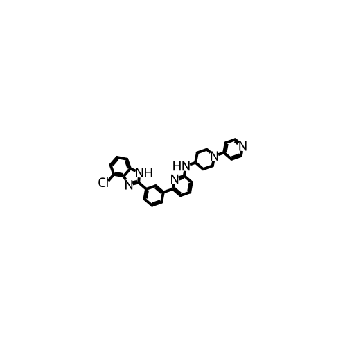 Clc1cccc2[nH]c(-c3cccc(-c4cccc(NC5CCN(c6ccncc6)CC5)n4)c3)nc12